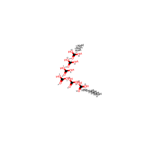 O=C(O)O.O=C(O)O.O=C(O)O.O=C(O)O.O=C(O)O.O=C(O)O.[NaH].[NaH].[NaH].[NaH].[NaH].[NaH].[NaH].[NaH]